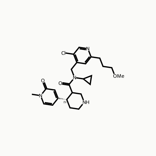 COCCCc1cc(CN(C(=O)C2CNCC[C@@H]2c2ccn(C)c(=O)c2)C2CC2)c(Cl)cn1